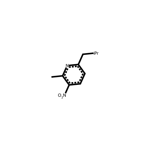 Cc1nc(CC(C)C)ccc1[N+](=O)[O-]